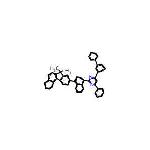 CC1(C)c2cc(-c3ccc(-c4nc(-c5ccccc5)cc(-c5cccc(-c6ccccc6)c5)n4)c4ccccc34)ccc2-c2c1ccc1ccccc21